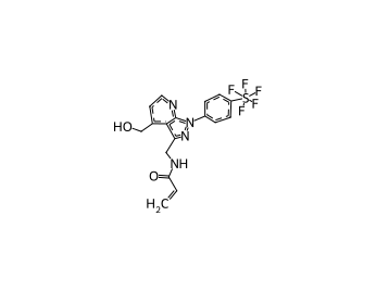 C=CC(=O)NCc1nn(-c2ccc(S(F)(F)(F)(F)F)cc2)c2nccc(CO)c12